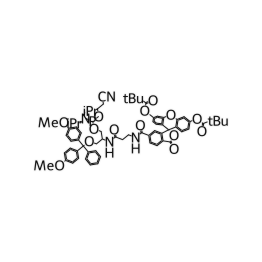 COc1ccc(C(OCC(COP(OCCC#N)N(C(C)C)C(C)C)NC(=O)CCNC(=O)c2ccc3c(c2)C2(OC3=O)c3ccc(OC(=O)C(C)(C)C)cc3Oc3cc(OC(=O)C(C)(C)C)ccc32)(c2ccccc2)c2ccc(OC)cc2)cc1